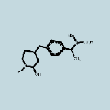 CC(C)N1CCC(Cc2ccc([C@H](C)N(C(=O)O)C(C)(C)C)cc2)CC1O